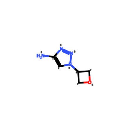 Nc1cn(C2COC2)nn1